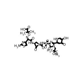 CC(C)(O)Cn1c(-c2cc(=O)c(O)c[nH]2)nn(S(=O)(=O)NC(=O)N2C[C@H](NC(=O)/C(=N\OC(C)(C)C(=O)O)c3csc(N)n3)C2=O)c1=O